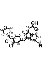 Cc1c(Cc2ccc([S+]([O-])N3CCOCC3)c(Cl)c2)c2cc(C#N)ccn2c1CC(=O)O